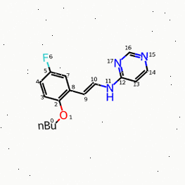 CCCCOc1ccc(F)cc1C=CNc1ccncn1